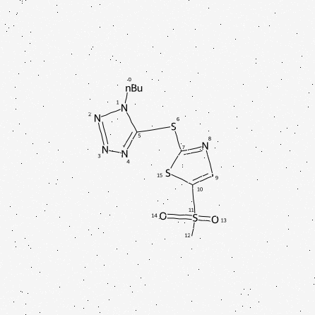 CCCCn1nnnc1Sc1ncc(S(C)(=O)=O)s1